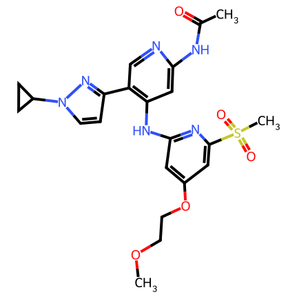 COCCOc1cc(Nc2cc(NC(C)=O)ncc2-c2ccn(C3CC3)n2)nc(S(C)(=O)=O)c1